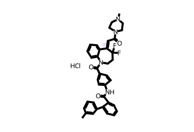 Cc1cccc(-c2ccccc2C(=O)Nc2ccc(C(=O)N3CCC(F)(F)/C(=C\C(=O)N4CCN(C)CC4)c4ccccc43)cc2)c1.Cl